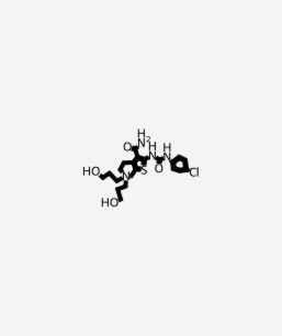 NC(=O)c1c(NC(=O)Nc2ccc(Cl)cc2)sc2c1CC[N+](CCCO)(CCCO)C2